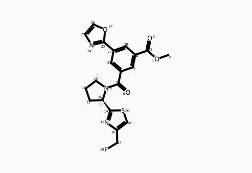 COC(=O)c1cc(C(=O)N2CCC[C@@H]2c2nc(CF)cs2)cc(-c2ncco2)c1